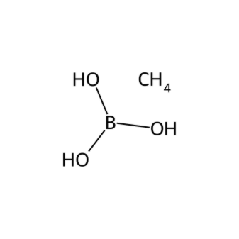 C.OB(O)O